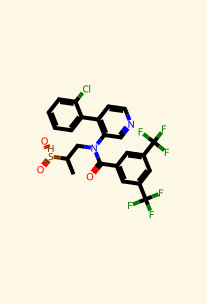 CC(CN(C(=O)c1cc(C(F)(F)F)cc(C(F)(F)F)c1)c1cnccc1-c1ccccc1Cl)[SH](=O)=O